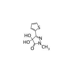 CN1N=C(c2cccs2)C(O)(O)C1=O